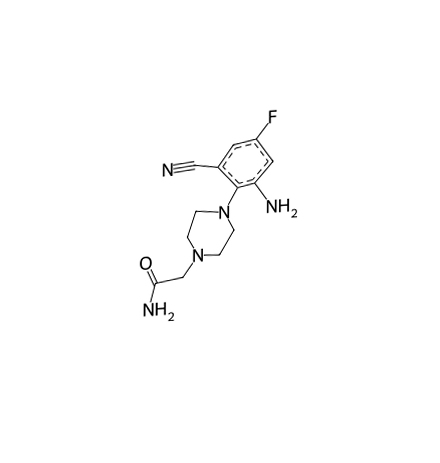 N#Cc1cc(F)cc(N)c1N1CCN(CC(N)=O)CC1